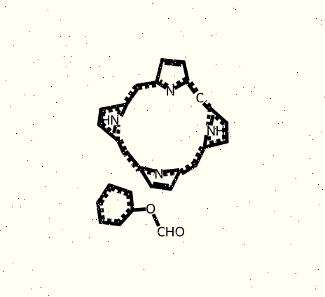 C1=Cc2cc3ccc(cc4nc(cc5ccc(cc1n2)[nH]5)C=C4)[nH]3.O=COc1ccccc1